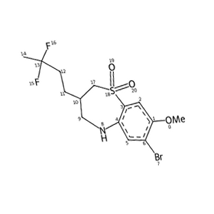 COc1cc2c(cc1Br)NCC(CCC(C)(F)F)CS2(=O)=O